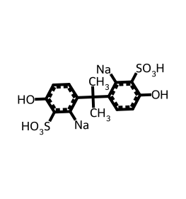 CC(C)(c1ccc(O)c(S(=O)(=O)O)[c]1[Na])c1ccc(O)c(S(=O)(=O)O)[c]1[Na]